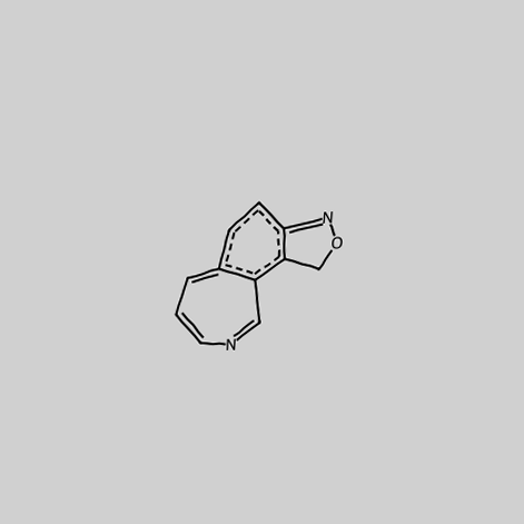 C1=CN=Cc2c3c(ccc2=C1)=NOC3